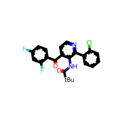 CC(C)(C)C(=O)Nc1c(C(=O)c2ccc(F)cc2F)ccnc1-c1ccccc1Cl